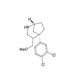 COCC1CN[C@@H]2CC[C@]1(c1ccc(Cl)c(Cl)c1)C2